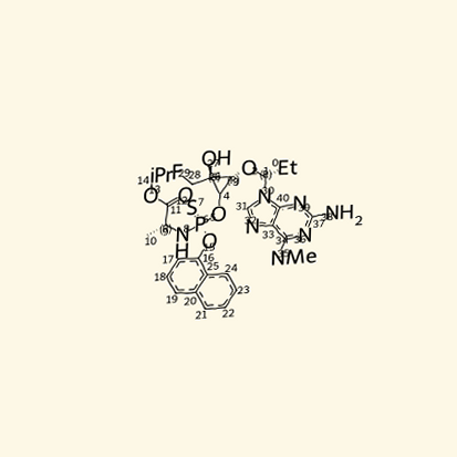 CC[C@@H](O[C@@H]1C(OP(=S)(N[C@H](C)C(=O)OC(C)C)Oc2cccc3ccccc23)[C@]1(O)CF)n1cnc2c(NC)nc(N)nc21